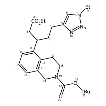 CCOC(=O)CC(CCc1cn(CC)nn1)c1cccc2c1CCN(C(=O)OC(C)(C)C)C2